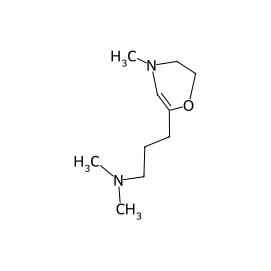 CN(C)CCCC1=CN(C)CCO1